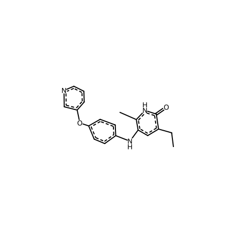 CCc1cc(Nc2ccc(Oc3cccnc3)cc2)c(C)[nH]c1=O